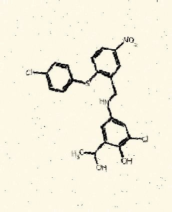 CC(O)c1cc(NCc2cc([N+](=O)[O-])ccc2Sc2ccc(Cl)cc2)cc(Cl)c1O